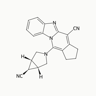 N#Cc1c2c(c(N3C[C@@H]4[C@@H](C#N)[C@@H]4C3)n3c1nc1ccccc13)CCC2